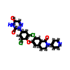 O=C1c2ccc(Oc3c(Cl)cc(-n4ncc(=O)[nH]c4=O)cc3Cl)cc2CCN1c1ccncc1